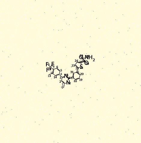 Cc1cc(-c2ccc(C(F)(F)F)c(C)c2)nc(-c2cccc(-c3ccc(S(N)(=O)=O)s3)c2)n1